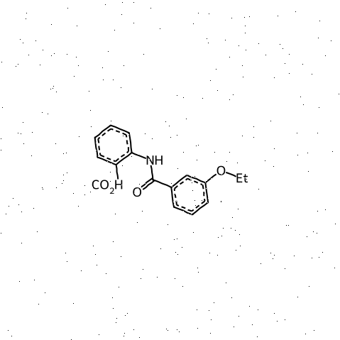 CCOc1cccc(C(=O)Nc2ccccc2C(=O)O)c1